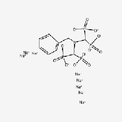 O=P([O-])([O-])C(N(Cc1ccccc1)C(P(=O)([O-])[O-])P(=O)([O-])[O-])P(=O)([O-])[O-].[Na+].[Na+].[Na+].[Na+].[Na+].[Na+].[Na+].[Na+]